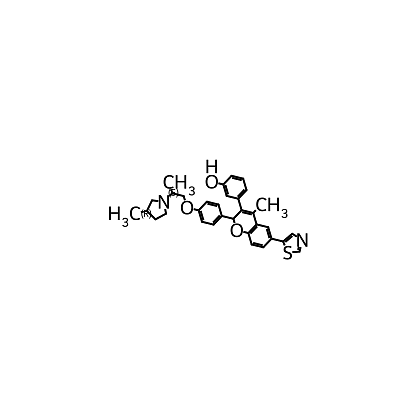 CC1=C(c2cccc(O)c2)C(c2ccc(OC[C@H](C)N3CC[C@@H](C)C3)cc2)Oc2ccc(-c3cncs3)cc21